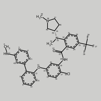 CNc1ncnc(-c2cccnc2Oc2ccc(Cl)c(NC(=O)c3cc(C(F)(F)F)ccc3N(C)[C@H]3CCN(C)C3)c2)n1